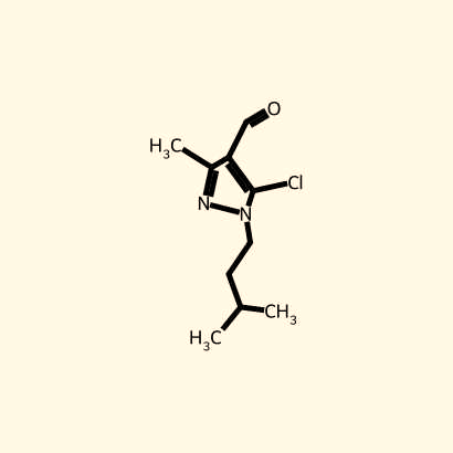 Cc1nn(CCC(C)C)c(Cl)c1C=O